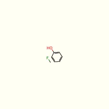 CF.Oc1ccccc1